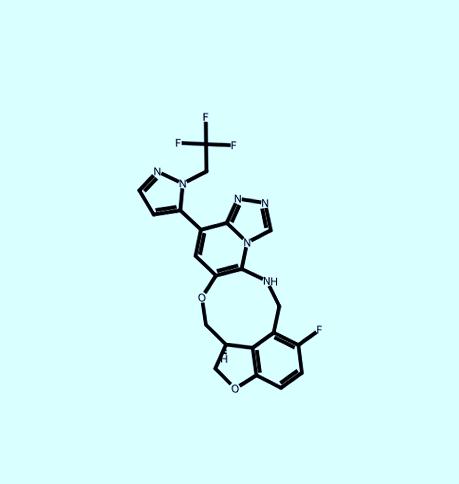 Fc1ccc2c3c1CNc1c(cc(-c4ccnn4CC(F)(F)F)c4nncn14)OC[C@@H]3CO2